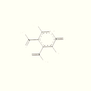 Cc1[nH]c(=O)c(Cl)c(C(=O)O)c1C(=O)O